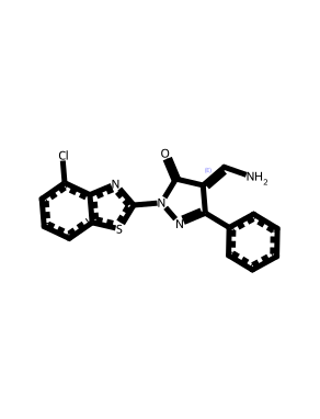 N/C=C1/C(=O)N(c2nc3c(Cl)cccc3s2)N=C1c1ccccc1